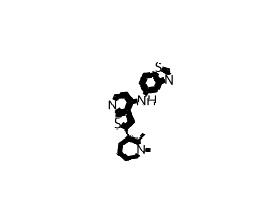 C[C@@H]1[C@H](c2cc3c(Nc4ccc5scnc5c4)ccnc3s2)CCCCN1C